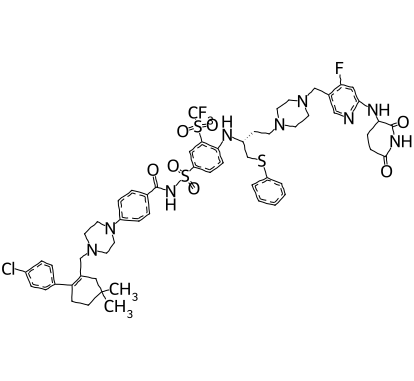 CC1(C)CCC(c2ccc(Cl)cc2)=C(CN2CCN(c3ccc(C(=O)NS(=O)(=O)c4ccc(N[C@H](CCN5CCN(Cc6cnc(NC7CCC(=O)NC7=O)cc6F)CC5)CSc5ccccc5)c(S(=O)(=O)C(F)(F)F)c4)cc3)CC2)C1